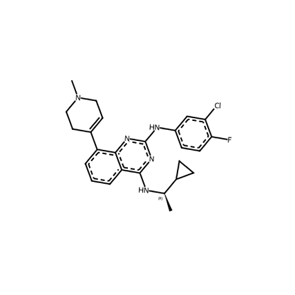 C[C@@H](Nc1nc(Nc2ccc(F)c(Cl)c2)nc2c(C3=CCN(C)CC3)cccc12)C1CC1